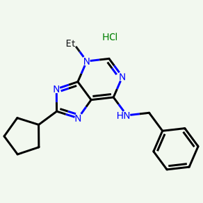 CCn1cnc(NCc2ccccc2)c2nc(C3CCCC3)nc1-2.Cl